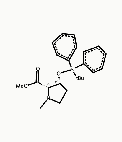 COC(=O)[C@@H]1[C@H](O[Si](c2ccccc2)(c2ccccc2)C(C)(C)C)CCN1C